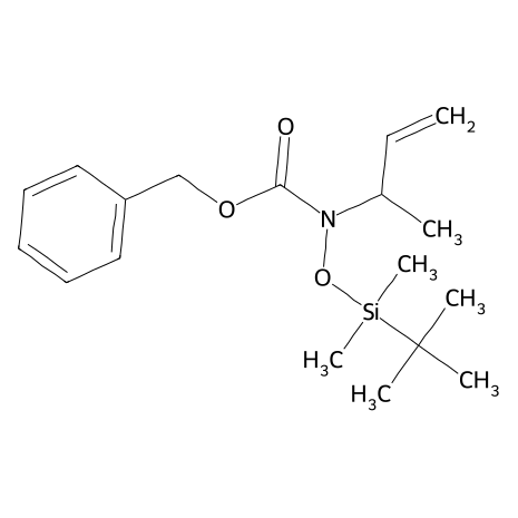 C=CC(C)N(O[Si](C)(C)C(C)(C)C)C(=O)OCc1ccccc1